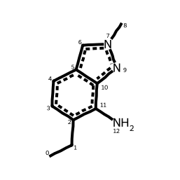 CCc1ccc2cn(C)nc2c1N